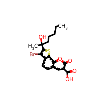 CCCCCC(C)(O)c1sc2c(ccc3cc(C(=O)O)c(=O)oc32)c1Br